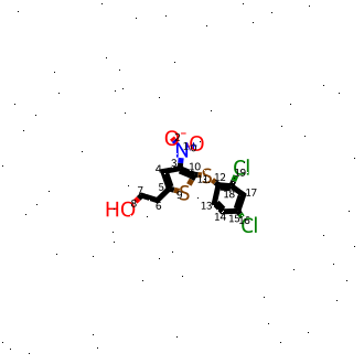 O=[N+]([O-])c1cc(CCO)sc1Sc1ccc(Cl)cc1Cl